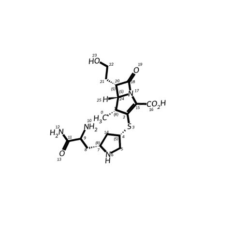 C[C@H]1C(S[C@@H]2CN[C@H](CC(N)C(N)=O)C2)=C(C(=O)O)N2C(=O)[C@@H](CCO)[C@@H]12